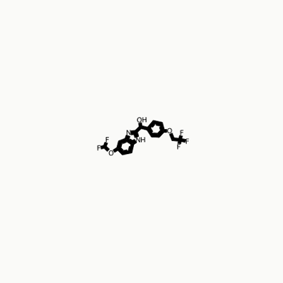 OC(c1ccc(OCC(F)(F)F)cc1)c1nc2cc(OC(F)F)ccc2[nH]1